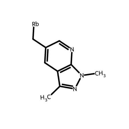 Cc1nn(C)c2ncc([CH2][Rb])cc12